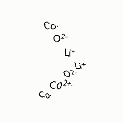 [Co+2].[Co].[Co].[Li+].[Li+].[O-2].[O-2]